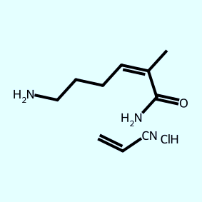 C=CC#N.CC(=CCCCN)C(N)=O.Cl